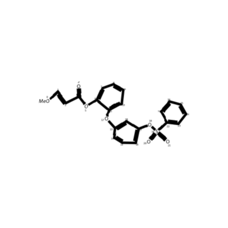 COC=CC(=O)Oc1ccccc1Oc1cccc(OS(=O)(=O)c2ccccc2)c1